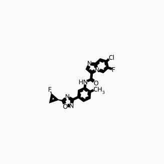 Cc1ccc(-c2noc([C@H]3C[C@@H]3F)n2)cc1NC(=O)c1cnc2cc(Cl)c(F)cn12